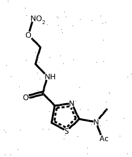 CC(=O)N(C)c1nc(C(=O)NCCO[N+](=O)[O-])cs1